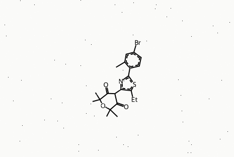 CCc1sc(-c2ccc(Br)cc2C)nc1C1C(=O)C(C)(C)OC(C)(C)C1=O